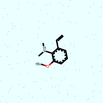 C=Cc1cccc(OC(C)(C)C)c1[SiH](C)C